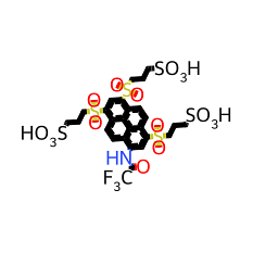 O=C(Nc1cc(S(=O)(=O)CCCS(=O)(=O)O)c2ccc3c(S(=O)(=O)CCCS(=O)(=O)O)cc(S(=O)(=O)CCCS(=O)(=O)O)c4ccc1c2c43)C(F)(F)F